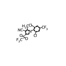 Cc1c(C#N)c(S(=O)(=O)C(F)(F)F)cn1-c1c(Cl)cc(C(F)(F)F)cc1Cl